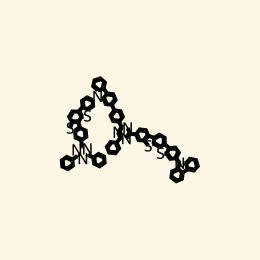 c1ccc(-c2nc(-c3ccc(-c4ccc5c6ccccc6n(-c6ccc7c(c6)sc6c7ccc7sc8cc(-c9nc(-c%10ccccc%10)nc(-c%10ccccc%10)n9)ccc8c76)c5c4)cc3)nc(-c3ccc4c(c3)sc3c4ccc4c5ccc(-n6c7ccccc7c7ccccc76)cc5sc43)n2)cc1